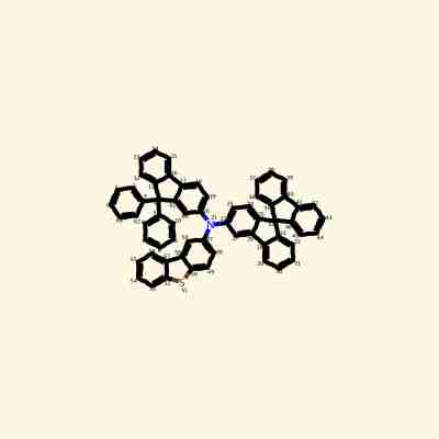 c1ccc(C2(c3ccccc3)c3ccccc3-c3ccc(N(c4ccc5c(c4)-c4ccccc4C54c5ccccc5-c5ccccc54)c4ccc5sc6ccccc6c5c4)cc32)cc1